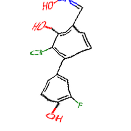 O/N=C\c1ccc(-c2ccc(O)c(F)c2)c(Cl)c1O